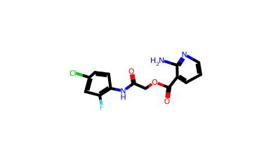 Nc1ncccc1C(=O)OCC(=O)Nc1ccc(Cl)cc1F